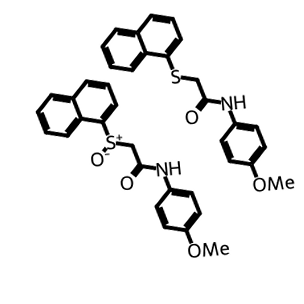 COc1ccc(NC(=O)CSc2cccc3ccccc23)cc1.COc1ccc(NC(=O)C[S+]([O-])c2cccc3ccccc23)cc1